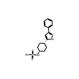 CC(C)(C)S(=O)(=O)N[C@H]1CC[C@H](c2cc(-c3ccccc3)n[nH]2)CC1